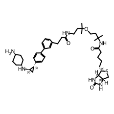 CC(C)(CCOC(C)(C)CCNC(=O)CCc1cccc(-c2ccc([C@@H]3C[C@H]3N[C@H]3CC[C@H](N)CC3)cc2)c1)NC(=O)CCCC[C@@H]1SC[C@@H]2NC(=O)N[C@@H]21